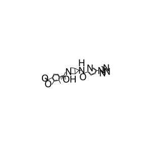 Cc1c([C@@H](O)CN2CC3C(C2)C3NC(=O)c2ccc(-n3cnnn3)cn2)ccc2c1COC2=O